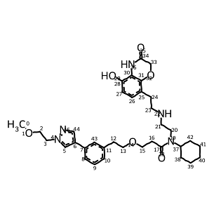 COCCn1cc(-c2cccc(CCOCCC(=O)N(CCNCCc3ccc(O)c4c3OCC(=O)N4)C3CCCCC3)c2)cn1